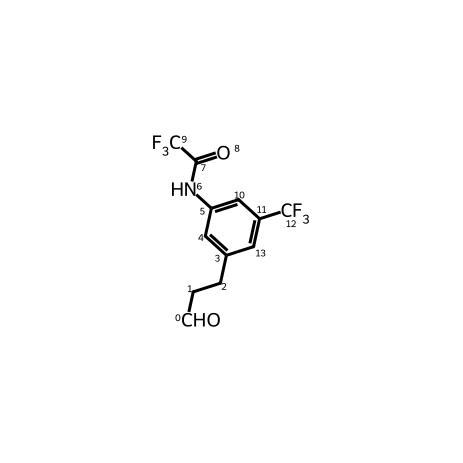 O=CCCc1cc(NC(=O)C(F)(F)F)cc(C(F)(F)F)c1